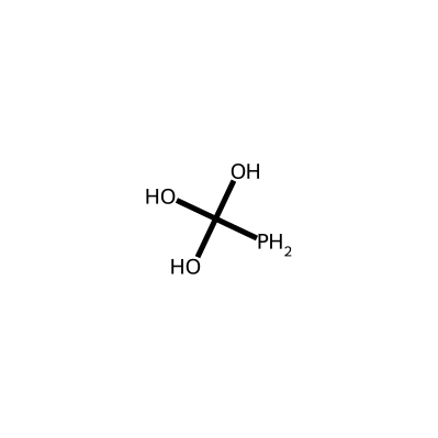 OC(O)(O)P